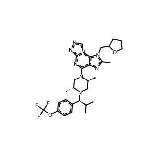 Cc1nc2c(N3C[C@@H](C)N([C@H](c4ccc(OC(F)(F)F)cc4)C(C)C)C[C@@H]3C)nc3nncn3c2n1CC1CCCO1